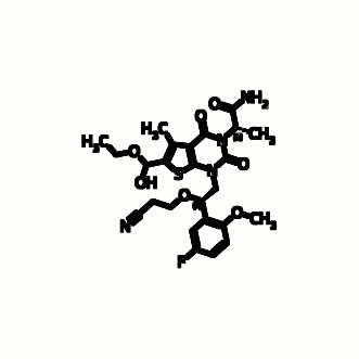 CCOC(O)c1sc2c(c1C)c(=O)n([C@@H](C)C(N)=O)c(=O)n2C[C@H](OCCC#N)c1cc(F)ccc1OC